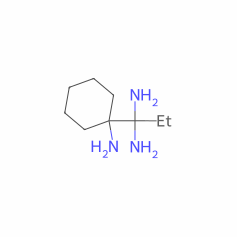 CCC(N)(N)C1(N)CCCCC1